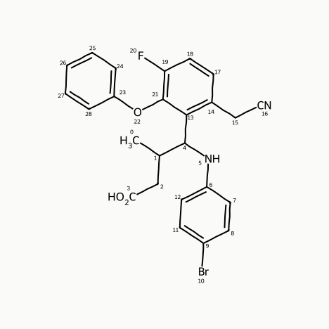 CC(CC(=O)O)C(Nc1ccc(Br)cc1)c1c(CC#N)ccc(F)c1Oc1ccccc1